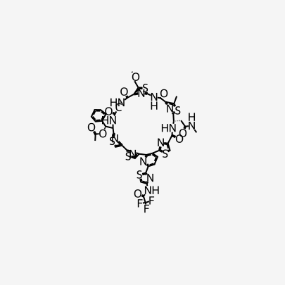 CNC(=O)C[C@@H]1NC(=O)c2csc(n2)-c2ccc(-c3nc(NC(=O)C(F)(F)F)cs3)nc2-c2csc(n2)-c2csc(n2)C([C@@H](OC(C)=O)c2ccccc2)NC(=O)CNC(=O)c2nc(sc2COC)NC(=O)c2nc1sc2C